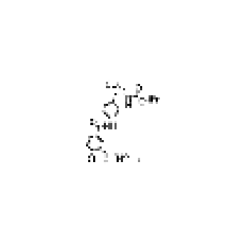 CC(C)OC(=O)N[C@@H](Cc1ccc(NC(=O)c2ccc(Cl)c(NC=NN)c2)cc1)C(=O)O